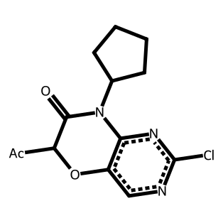 CC(=O)C1Oc2cnc(Cl)nc2N(C2CCCC2)C1=O